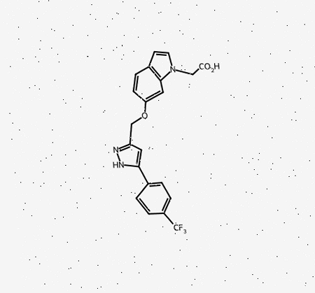 O=C(O)Cn1ccc2ccc(OCc3cc(-c4ccc(C(F)(F)F)cc4)[nH]n3)cc21